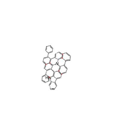 c1ccc(-c2ccccc2-c2ccccc2N(c2ccccc2-c2ccccc2)c2cccc(-c3ccccc3)c2-c2cccc3c2[nH]c2ccccc23)cc1